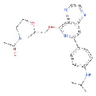 CC(=O)N1CCO[C@H](COc2nc(-c3ccc(NC(C)C)cc3)cc3nccnc23)C1